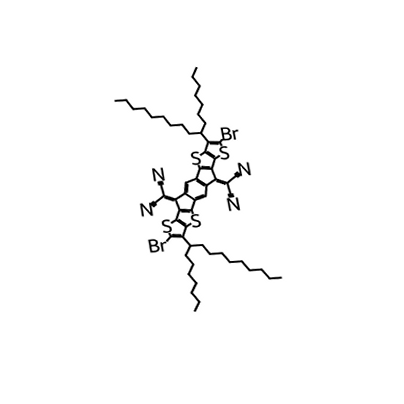 CCCCCCCCCC(CCCCCCC)c1c(Br)sc2c3c(sc12)-c1cc2c(cc1C3=C(C#N)C#N)-c1sc3c(C(CCCCCCC)CCCCCCCCC)c(Br)sc3c1C2=C(C#N)C#N